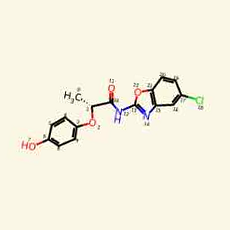 C[C@@H](Oc1ccc(O)cc1)C(=O)Nc1nc2cc(Cl)ccc2o1